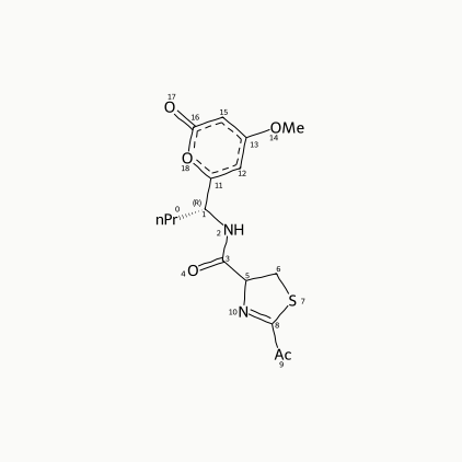 CCC[C@@H](NC(=O)C1CSC(C(C)=O)=N1)c1cc(OC)cc(=O)o1